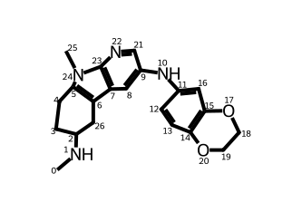 CNC1CCc2c(c3cc(Nc4ccc5c(c4)OCCO5)cnc3n2C)C1